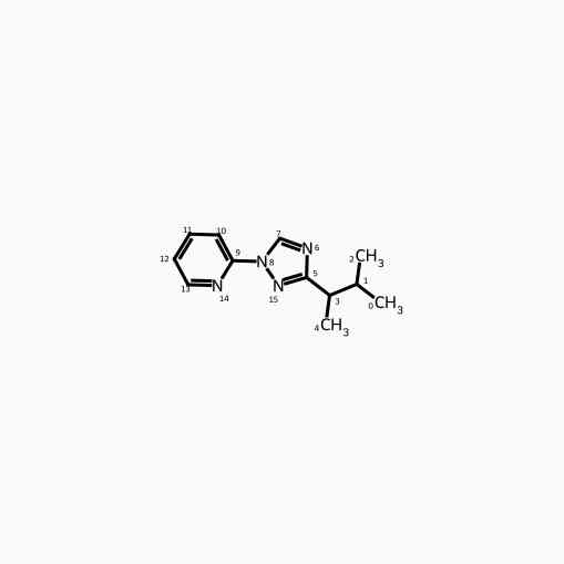 CC(C)C(C)c1ncn(-c2ccccn2)n1